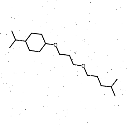 CC(C)CCCOCCCOC1CCC(C(C)C)CC1